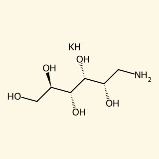 NC[C@H](O)[C@@H](O)[C@H](O)[C@H](O)CO.[KH]